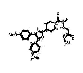 COc1ccc(-c2nc(C3CCN(C(=O)N(C)OCC(=O)OC(C)(C)C)CC3)oc2-c2ccc(OC)cc2)cc1